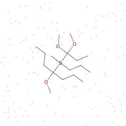 CCCC(CCC)(OC)[Si](C)(CCC)C(CC)(OC)OC